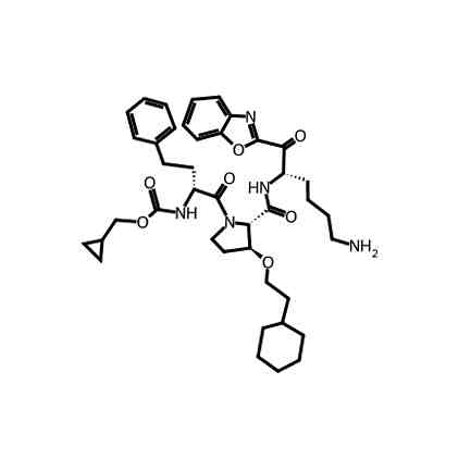 NCCCC[C@H](NC(=O)[C@@H]1[C@@H](OCCC2CCCCC2)CCN1C(=O)[C@@H](CCc1ccccc1)NC(=O)OCC1CC1)C(=O)c1nc2ccccc2o1